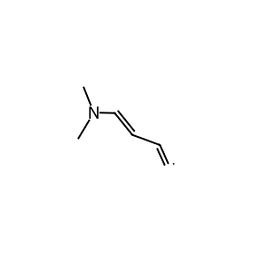 [CH]=C/C=C/N(C)C